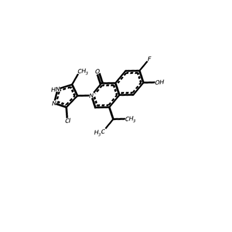 Cc1[nH]nc(Cl)c1-n1cc(C(C)C)c2cc(O)c(F)cc2c1=O